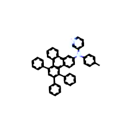 Cc1ccc(N(c2cccnc2)c2ccc3c(c2)c2ccccc2c2c(-c4ccccc4)cc(-c4ccccc4)c(-c4ccccc4)c32)cc1